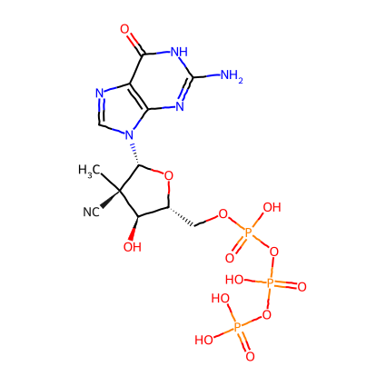 C[C@@]1(C#N)[C@H](O)[C@@H](COP(=O)(O)OP(=O)(O)OP(=O)(O)O)O[C@H]1n1cnc2c(=O)[nH]c(N)nc21